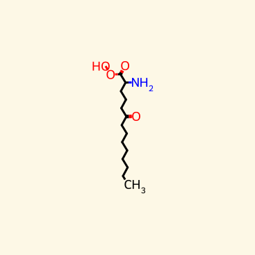 CCCCCCCCC(=O)CCCC(N)C(=O)OO